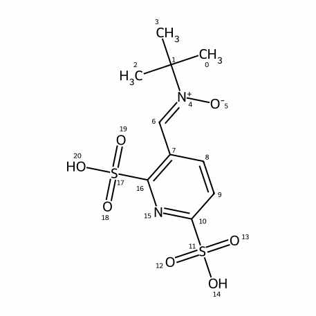 CC(C)(C)[N+]([O-])=Cc1ccc(S(=O)(=O)O)nc1S(=O)(=O)O